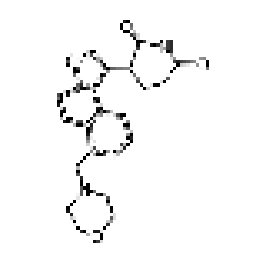 O=C1CCC(c2coc3ccc4c(CN5CCOCC5)cccc4c23)C(=O)N1